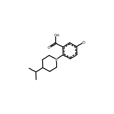 CC(C)C1CCN(c2ccc(Cl)cc2C(=O)O)CC1